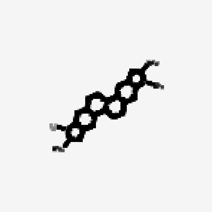 CSc1cc2cc3c(ccc4c5cc6cc(SC)n(C)c6cc5ccc34)cc2n1C